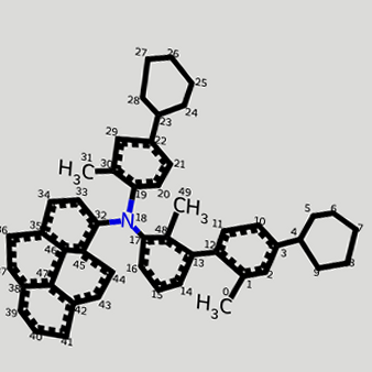 Cc1cc(C2CCCCC2)ccc1-c1cccc(N(c2ccc(C3CCCCC3)cc2C)c2ccc3ccc4cccc5ccc2c3c45)c1C